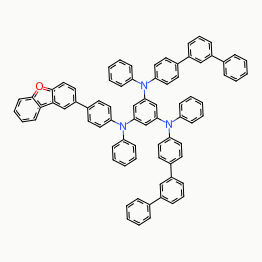 c1ccc(-c2cccc(-c3ccc(N(c4ccccc4)c4cc(N(c5ccccc5)c5ccc(-c6cccc(-c7ccccc7)c6)cc5)cc(N(c5ccccc5)c5ccc(-c6ccc7oc8ccccc8c7c6)cc5)c4)cc3)c2)cc1